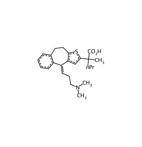 CCCC(C)(C(=O)O)c1cc2c(s1)CCc1ccccc1/C2=C/CCN(C)C